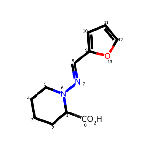 O=C(O)C1CCCCN1/N=C/c1ccco1